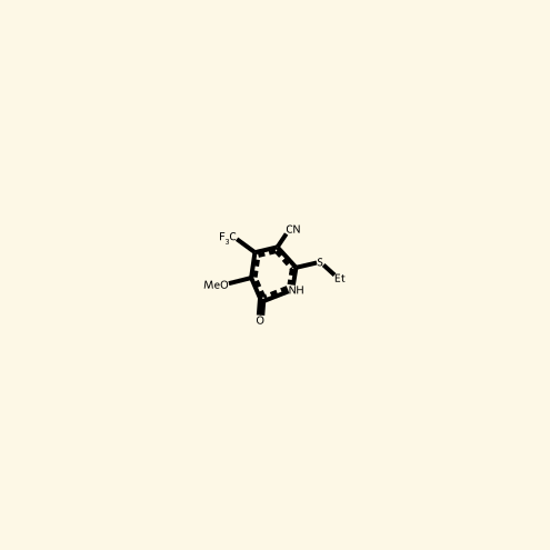 CCSc1[nH]c(=O)c(OC)c(C(F)(F)F)c1C#N